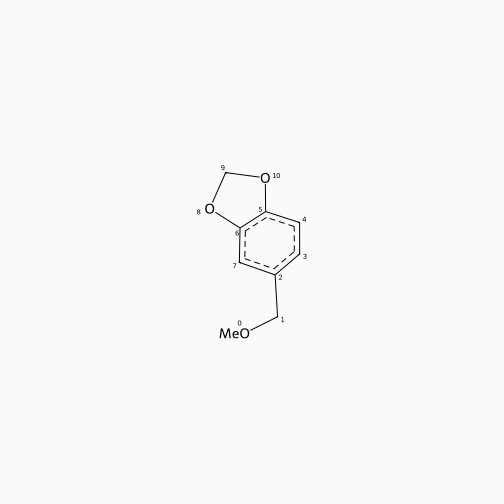 COCc1ccc2c(c1)OCO2